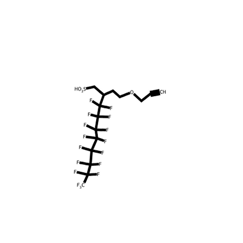 C#CCOCCC(CS(=O)(=O)O)C(F)(F)C(F)(F)C(F)(F)C(F)(F)C(F)(F)C(F)(F)C(F)(F)C(F)(F)F